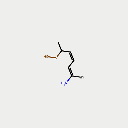 CC(/C=C\C=C(\N)C(C)C)SS